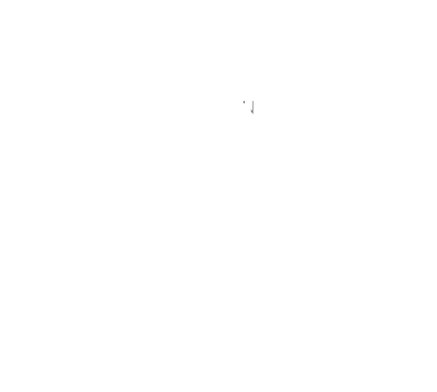 CN1CCC(CCC(C)(C)C)CC1